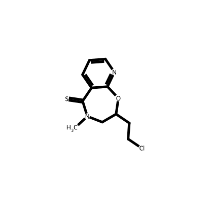 CN1CC(CCCl)Oc2ncccc2C1=S